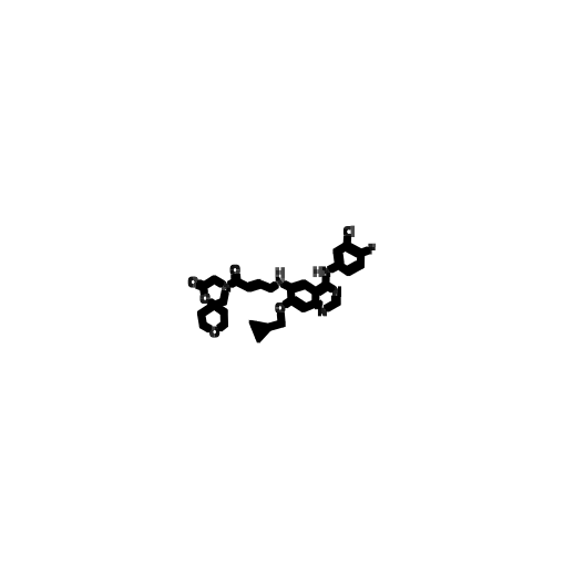 O=C1CN(C(=O)C=CCNc2cc3c(Nc4ccc(F)c(Cl)c4)ncnc3cc2OCC2CC2)CC2(CCOCC2)O1